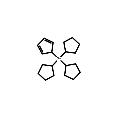 C1=C[CH]([Pt]([CH]2CCCC2)([CH]2CCCC2)[CH]2CCCC2)C=C1